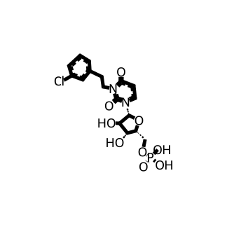 O=c1ccn([C@@H]2O[C@H](COP(=O)(O)O)[C@H](O)C2O)c(=O)n1CCc1cccc(Cl)c1